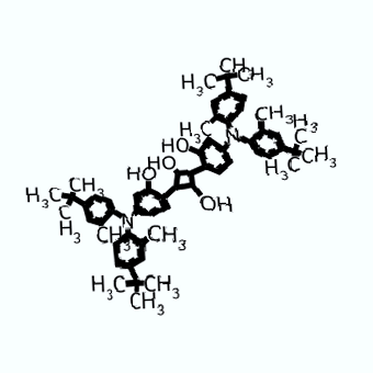 Cc1cc(C(C)(C)C)ccc1N(c1ccc(C2C(O)C(c3ccc(N(c4ccc(C(C)(C)C)cc4C)c4ccc(C(C)(C)C)cc4C)cc3O)C2O)c(O)c1)c1ccc(C(C)(C)C)cc1C